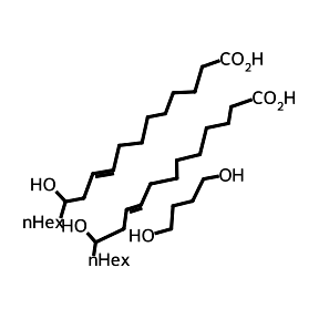 CCCCCCC(O)CC=CCCCCCCCC(=O)O.CCCCCCC(O)CC=CCCCCCCCC(=O)O.OCCCCO